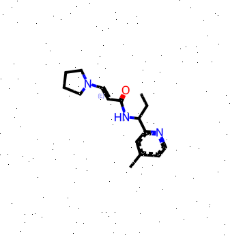 CCC(NC(=O)/C=C/N1CCCC1)c1cc(C)ccn1